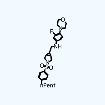 CCCCCc1ccc(S(=O)(=O)N2CC3C(CNc4ccc(N5CCOCC5)c(F)c4)C3C2)cc1